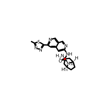 Cc1nnc(-c2cc3cc(NC(=O)N4[C@@H]5CC[C@H]4C[C@H](N)C5)ncc3cn2)s1